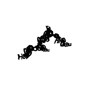 CCOc1ccc(-c2ccc(CNC(=O)OC(C)(C)C)cc2)cc1S(=O)(=O)N1CCC2(CC1)C[C@H](N(C[C@H](O)COc1cccc(S(=O)(=O)C3(CO)CC3)c1)C(=O)OC(C)(C)C)CO2